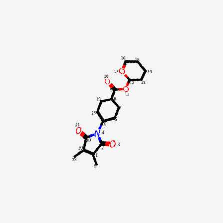 CC1C(=O)N(C2CCC(C(=O)OC3CCCCO3)CC2)C(=O)C1C